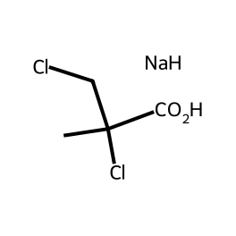 CC(Cl)(CCl)C(=O)O.[NaH]